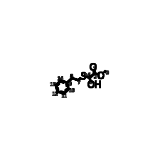 COC(=O)C(O)SCCc1ccccc1